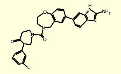 Nc1nc2ccc(-c3ccc4c(c3)CN(C(=O)N3CCC(=O)C(c5cccc(F)c5)C3)CCO4)cc2[nH]1